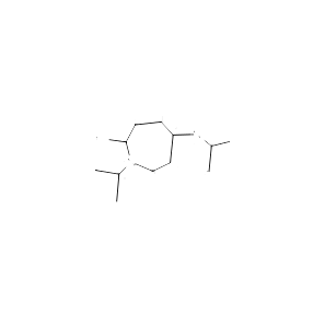 CC(C)NC1CCC(F)N(C(C)C)CC1